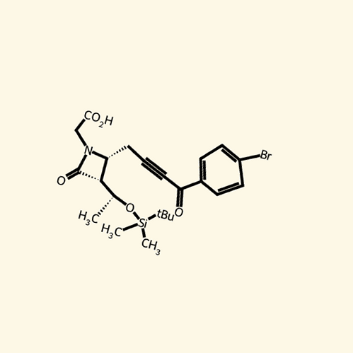 C[C@@H](O[Si](C)(C)C(C)(C)C)[C@@H]1C(=O)N(CC(=O)O)[C@@H]1CC#CC(=O)c1ccc(Br)cc1